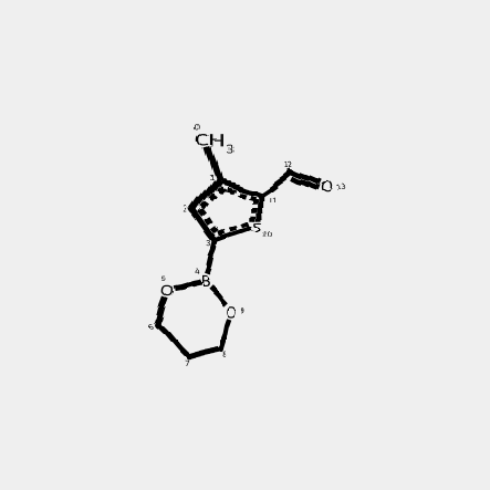 Cc1cc(B2OCCCO2)sc1C=O